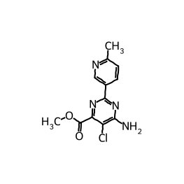 COC(=O)c1nc(-c2ccc(C)nc2)nc(N)c1Cl